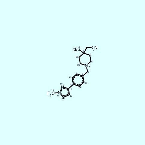 CC(C)(C)C1(CC#N)CCN(Cc2ccc(-c3ccn(C(F)(F)F)n3)cc2)CC1